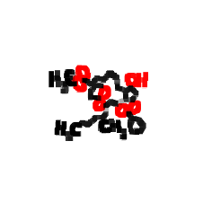 CCCC[C@H](C)C[C@@H](/C=C/[C@@H]1[C@@H](C/C=C\CCCC(=O)OC)[C@@H](O)C[C@H]1OC(=O)c1ccccc1)OC1CCCCO1